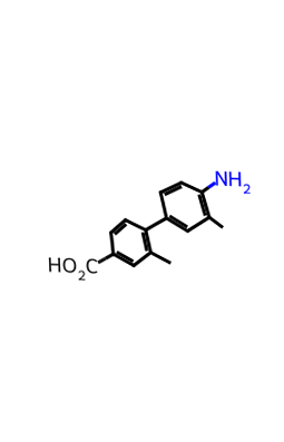 Cc1cc(-c2ccc(C(=O)O)cc2C)ccc1N